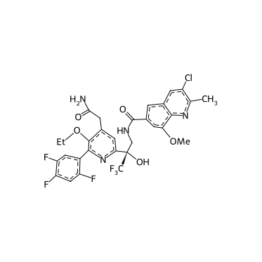 CCOc1c(CC(N)=O)cc([C@@](O)(CNC(=O)c2cc(OC)c3nc(C)c(Cl)cc3c2)C(F)(F)F)nc1-c1cc(F)c(F)cc1F